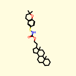 CC1(C)CCc2cc(SNC(=O)OCCC3CCC4C5CCC6CCCCC6(C)C5CCC34C)ccc2O1